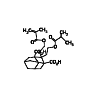 C=C(C)C(=O)OCCC1(CCOC(=O)C(=C)C)C2(C(=O)O)CC3CC(C2)CC1(C(=O)O)C3